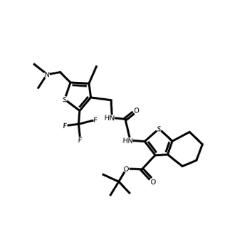 Cc1c(CN(C)C)sc(C(F)(F)F)c1CNC(=O)Nc1sc2c(c1C(=O)OC(C)(C)C)CCCC2